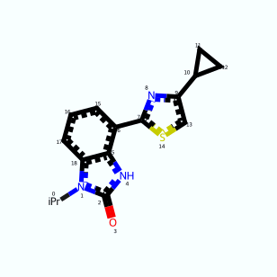 CC(C)n1c(=O)[nH]c2c(-c3nc(C4CC4)cs3)cccc21